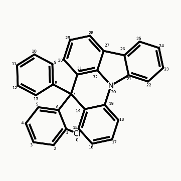 Clc1ccccc1C1(c2ccccc2)c2ccccc2-n2c3ccccc3c3cccc1c32